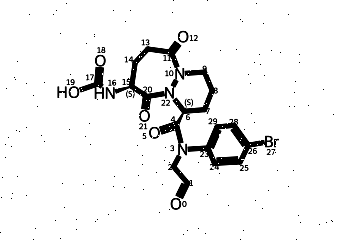 O=CCN(C(=O)[C@@H]1CCCN2C(=O)CC[C@H](NC(=O)O)C(=O)N12)c1ccc(Br)cc1